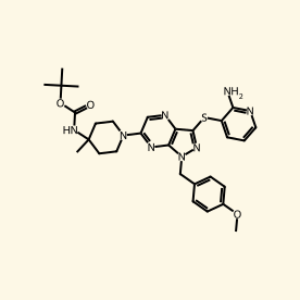 COc1ccc(Cn2nc(Sc3cccnc3N)c3ncc(N4CCC(C)(NC(=O)OC(C)(C)C)CC4)nc32)cc1